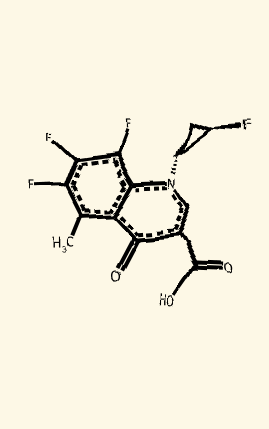 Cc1c(F)c(F)c(F)c2c1c(=O)c(C(=O)O)cn2[C@@H]1C[C@H]1F